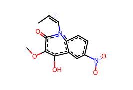 C/C=C\n1c(=O)c(OC)c(O)c2cc([N+](=O)[O-])ccc21